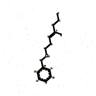 CCC/C(C)=C/CCOCc1ccccc1